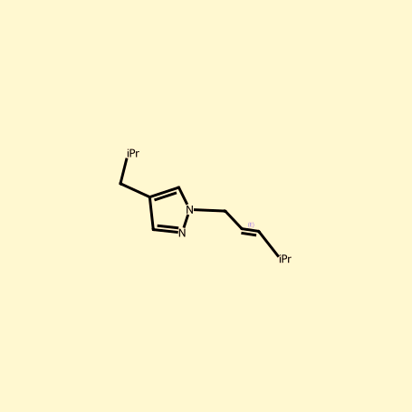 CC(C)/C=C/Cn1cc(CC(C)C)cn1